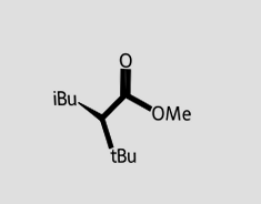 CC[C@H](C)C(C(=O)OC)C(C)(C)C